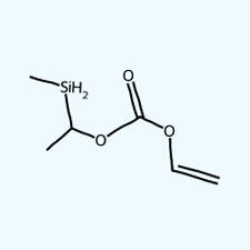 C=COC(=O)OC(C)[SiH2]C